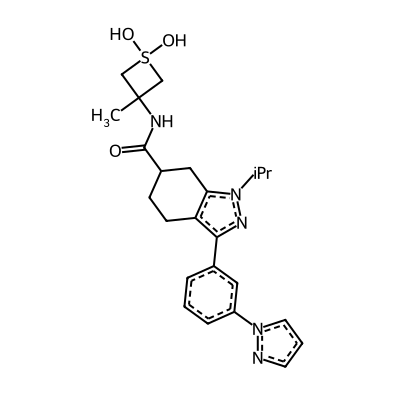 CC(C)n1nc(-c2cccc(-n3cccn3)c2)c2c1CC(C(=O)NC1(C)CS(O)(O)C1)CC2